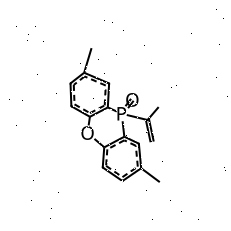 C=C(C)P1(=O)c2cc(C)ccc2Oc2ccc(C)cc21